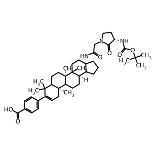 CC(C)(C)OC(=O)N[C@H]1CCN(CC(=O)N[C@]23CCCC2[C@H]2CCC4[C@@]5(C)CC=C(c6ccc(C(=O)O)cc6)C(C)(C)C5CC[C@@]4(C)[C@]2(C)CC3)C1=O